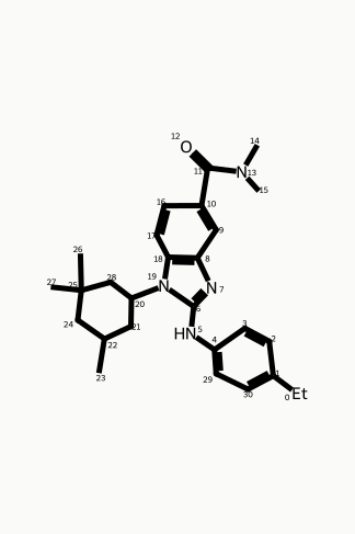 CCc1ccc(Nc2nc3cc(C(=O)N(C)C)ccc3n2C2CC(C)CC(C)(C)C2)cc1